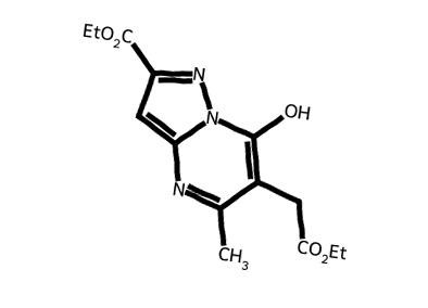 CCOC(=O)Cc1c(C)nc2cc(C(=O)OCC)nn2c1O